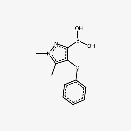 Cc1c(Oc2ccccc2)c(B(O)O)nn1C